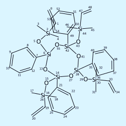 C=C[Si](C)(C)O[Si]1(c2ccccc2)O[Si](O[Si](C)(C)C=C)(c2ccccc2)O[Si](O[Si](C)(C)C=C)(c2ccccc2)O[Si](O[Si](C)(C)C=C)(c2ccccc2)O1